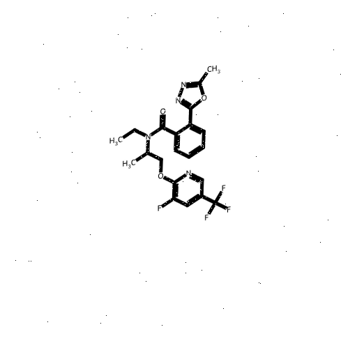 CCN(C(=O)c1ccccc1-c1nnc(C)o1)C(C)COc1ncc(C(F)(F)F)cc1F